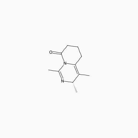 CC1=N[C@@H](C)C(C)=C2CCCC(=O)N12